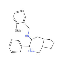 COc1ccccc1CNC1CC2CCCC2CNC1c1ccccc1